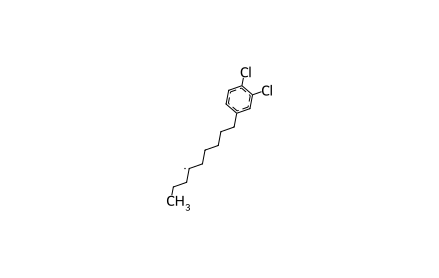 CCC[CH]CCCCCc1ccc(Cl)c(Cl)c1